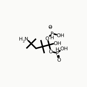 CC(C)(N)CC(C)(C)C(O)(O[PH](=O)O)O[PH](=O)O